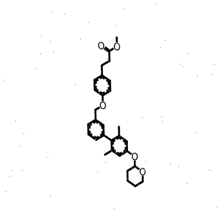 COC(=O)CCc1ccc(OCc2cccc(-c3c(C)cc(OC4CCCCO4)cc3C)c2)cc1